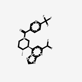 C[C@@H]1CCN(C(=O)c2ccc(C(F)(F)F)nc2)C[C@H]1c1cc(C(F)F)nc2ncnn12